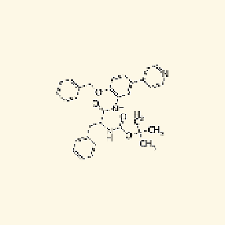 CC(C)(C)OC(=O)NC(Cc1ccccc1)C(=O)Nc1cc(-c2ccncc2)ccc1OCc1ccccc1